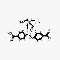 CC[N+](CC)(CC)CC.O=C(O)c1ccc(SSc2ccc(C(=O)O)cc2)cc1